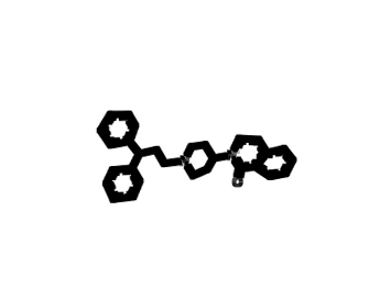 O=c1c2ccccc2ccn1C1CCN(CCC(c2ccccc2)c2ccccc2)CC1